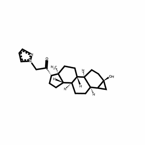 C[C@]12CC[C@@H]3[C@H]4CC[C@]5(O)CC5[C@H]4CC[C@H]3[C@@H]1CC[C@@H]2C(=O)Cn1cccn1